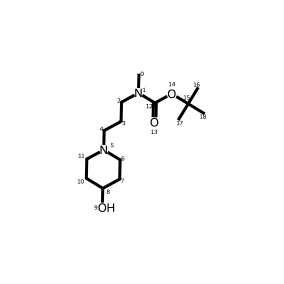 CN(CCCN1CCC(O)CC1)C(=O)OC(C)(C)C